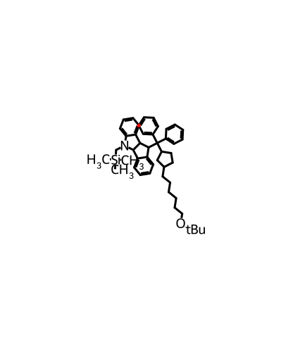 CC(C)(C)OCCCCCCC1CCC(C(c2ccccc2)(c2ccccc2)C2c3ccccc3C3C2c2ccccc2N3C[Si](C)(C)C)C1